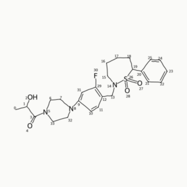 CC(O)C(=O)N1CCN(c2ccc(CN3CCCCC(c4ccccc4)S3(=O)=O)c(F)c2)CC1